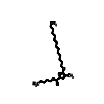 CCCCCCCCCCCCCCOc1oc(C(=O)OCCCCC)cc1C